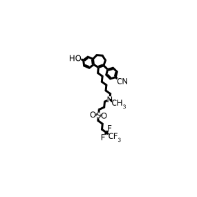 CN(CCCCCCC1=C(c2ccc(C#N)cc2)CCCc2cc(O)ccc21)CCCS(=O)(=O)CCCC(F)(F)C(F)(F)F